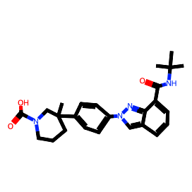 CC(C)(C)NC(=O)c1cccc2cn(-c3ccc(C4(C)CCCN(C(=O)O)C4)cc3)nc12